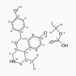 CC(C)(C)OC(=O)O.COc1ccc(COC2CNCC(C(C)C)C2c2ccc(Cl)cc2)cc1